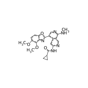 CNc1ncc(-c2nc3c(OC)c(OC)ccc3o2)c2cc(NC(=O)C3CC3)ncc12